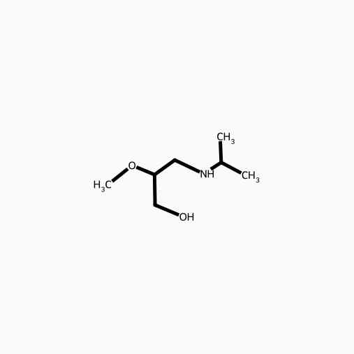 COC(CO)CNC(C)C